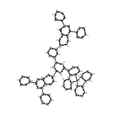 c1ccc(-c2cc(-c3ccccc3)c3ccc(-c4cccc(-c5nc(-c6ccc7c(-c8ccccc8)cc(-c8ccccc8)cc7c6)nc(-c6cccc7c6-c6ccccc6C76c7ccccc7-c7ccccc76)n5)c4)cc3c2)cc1